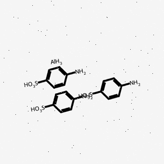 Nc1ccc(S(=O)(=O)O)cc1.Nc1ccc(S(=O)(=O)O)cc1.Nc1ccc(S(=O)(=O)O)cc1.[AlH3]